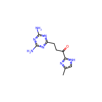 Cc1c[nH]c(C(=O)CCc2nc(N)nc(N)n2)n1